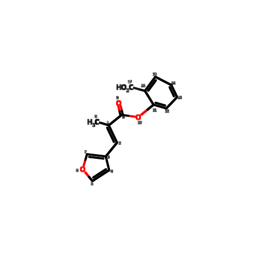 CC(=Cc1ccoc1)C(=O)Oc1ccccc1C(=O)O